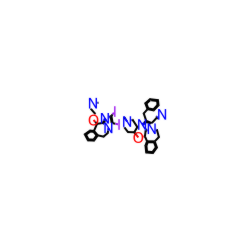 CN(C)CCOC1c2ccccc2CCn2c1nc(I)c2I.CN1CCC(OC2c3ccccc3CCn3c2nc(Cc2ccccc2)c3C#N)CC1